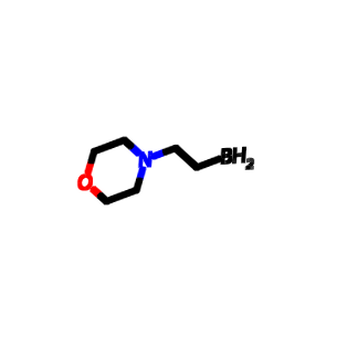 BCCN1CCOCC1